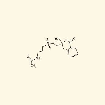 CC(=O)NCCCS(=O)(=O)OCC1(C)Cc2ccccc2C(=O)O1